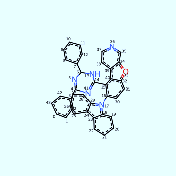 c1ccc(C2=NC(c3ccccc3)NC(c3c(-n4c5ccccc5c5ccccc54)ccc4oc5cnccc5c34)=N2)cc1